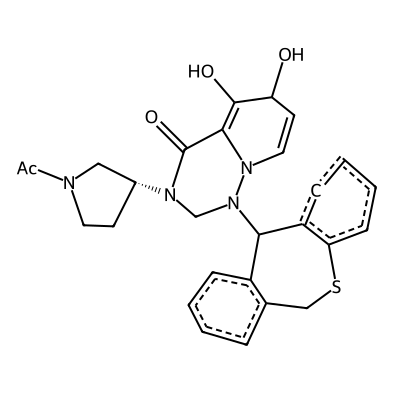 CC(=O)N1CC[C@@H](N2CN(C3c4ccccc4CSc4ccccc43)N3C=CC(O)C(O)=C3C2=O)C1